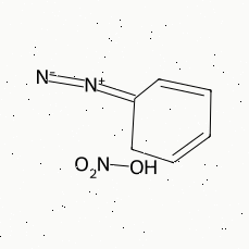 O=[N+]([O-])O.[N-]=[N+]=C1C=CC=CC1